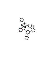 c1ccc(-c2cc(-c3ccccc3)cc(-c3cccc4sc5ccc(-c6nc(-c7ccccc7)nc(-c7ccccc7)n6)cc5c34)c2)cc1